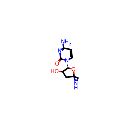 Nc1ccn([C@@H]2OC3(CN3)CC2O)c(=O)n1